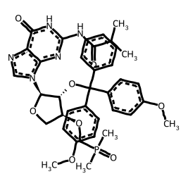 COc1ccc(C(O[C@@H]2[C@@H](OCP(C)(C)=O)CO[C@H]2n2cnc3c(=O)[nH]c(NC(=O)C(C)C)nc32)(c2ccccc2)c2ccc(OC)cc2)cc1